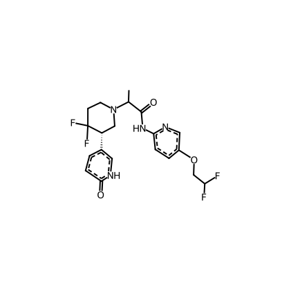 CC(C(=O)Nc1ccc(OCC(F)F)cn1)N1CCC(F)(F)[C@@H](c2ccc(=O)[nH]c2)C1